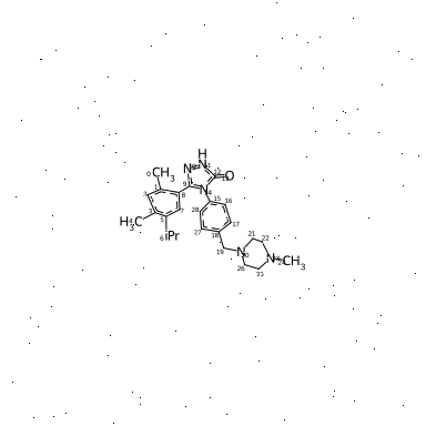 Cc1cc(C)c(C(C)C)cc1-c1n[nH]c(=O)n1-c1ccc(CN2CCN(C)CC2)cc1